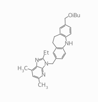 CCc1nc2c(C)cc(C)nc2n1Cc1ccc2c(c1)CCc1cc(COCC(C)C)ccc1N2